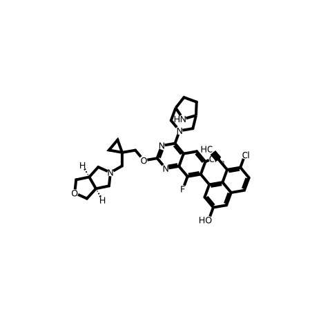 C#Cc1c(Cl)ccc2cc(O)cc(-c3c(C)cc4c(N5CC6CCC(C5)N6)nc(OCC5(CN6C[C@H]7COC[C@H]7C6)CC5)nc4c3F)c12